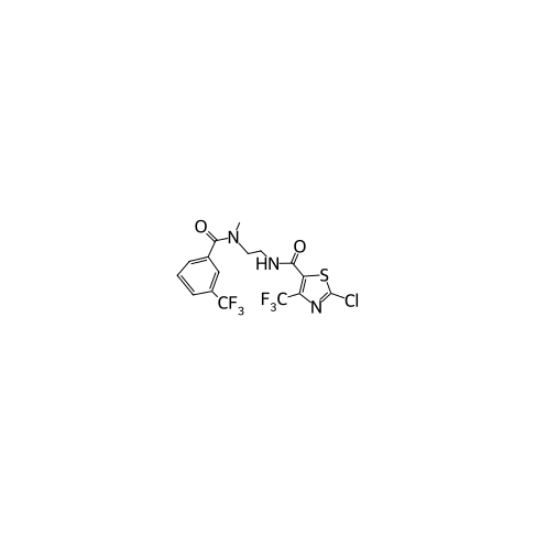 CN(CCNC(=O)c1sc(Cl)nc1C(F)(F)F)C(=O)c1cccc(C(F)(F)F)c1